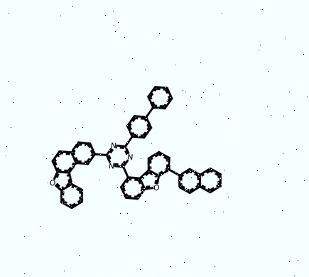 c1ccc(-c2ccc(-c3nc(-c4ccc5ccc6oc7ccccc7c6c5c4)nc(-c4cccc5oc6c(-c7ccc8ccccc8c7)cccc6c45)n3)cc2)cc1